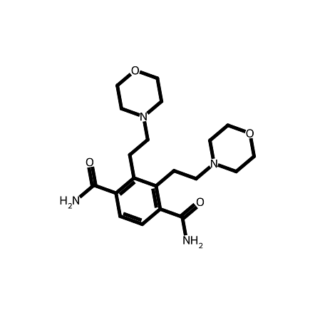 NC(=O)c1ccc(C(N)=O)c(CCN2CCOCC2)c1CCN1CCOCC1